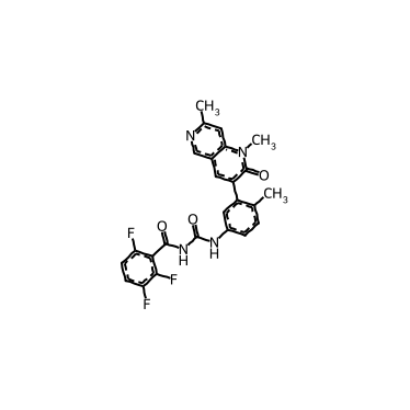 Cc1cc2c(cn1)cc(-c1cc(NC(=O)NC(=O)c3c(F)ccc(F)c3F)ccc1C)c(=O)n2C